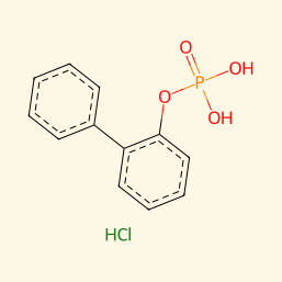 Cl.O=P(O)(O)Oc1ccccc1-c1ccccc1